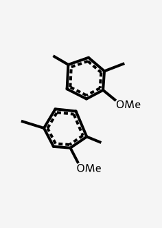 COc1cc(C)ccc1C.COc1ccc(C)cc1C